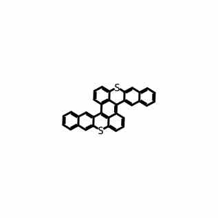 c1ccc2cc3c(cc2c1)sc1cccc2c1c3c1cccc3sc4cc5ccccc5cc4c2c31